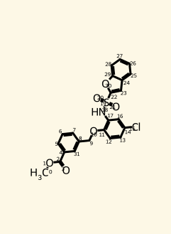 COC(=O)c1cccc(COc2ccc(Cl)cc2NS(=O)(=O)c2cc3ccccc3o2)c1